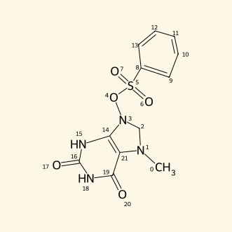 CN1CN(OS(=O)(=O)c2ccccc2)c2[nH]c(=O)[nH]c(=O)c21